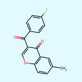 Cc1ccc2occ(C(=O)c3ccc(F)cc3)c(=O)c2c1